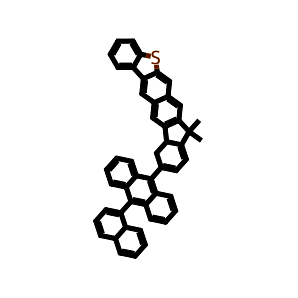 CC1(C)C2=CC=C(c3c4ccccc4c(C4=CC=CC5C=CC=CC45)c4ccccc34)CC2c2cc3cc4c(cc3cc21)sc1ccccc14